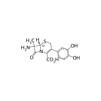 CC1(N)C(=O)N2C(C(=O)O)=C(c3ccc(O)c(O)c3)CS[C@H]21